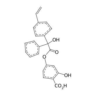 C=Cc1ccc(C(O)(C(=O)Oc2ccc(C(=O)O)c(O)c2)c2ccccc2)cc1